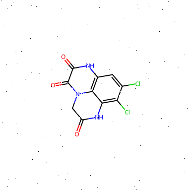 O=C1Cn2c(=O)c(=O)[nH]c3cc(Cl)c(Cl)c(c32)N1